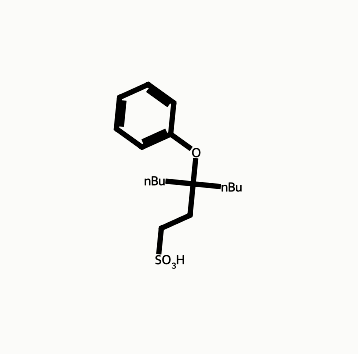 CCCCC(CCCC)(CCS(=O)(=O)O)Oc1ccccc1